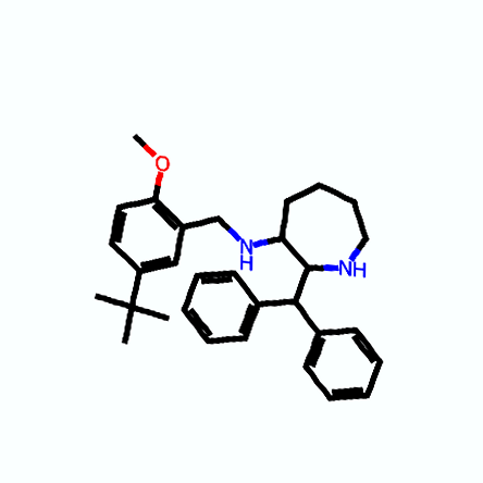 COc1ccc(C(C)(C)C)cc1CNC1CCCCNC1C(c1ccccc1)c1ccccc1